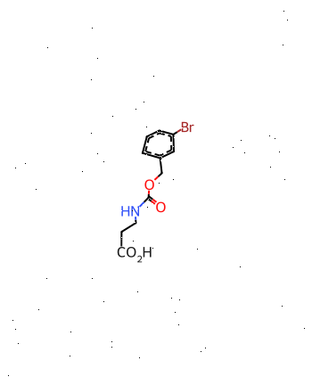 O=C(O)CCNC(=O)OCc1cccc(Br)c1